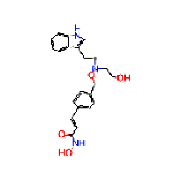 O=C(/C=C/c1ccc(CON(CCO)CCc2c[nH]c3ccccc23)cc1)NO